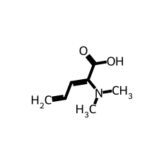 C=C/C=C(/C(=O)O)N(C)C